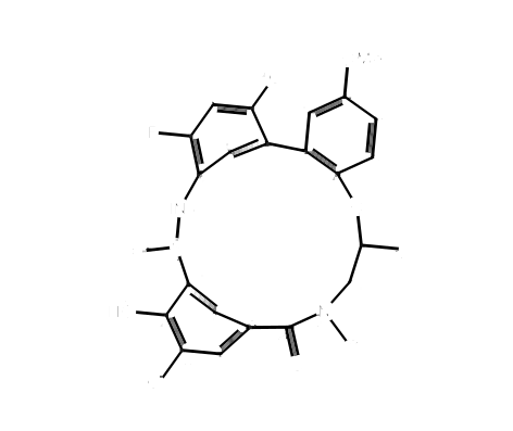 COc1ccc2c(c1)-c1cc(c(F)cc1Cl)N[S+]([O-])c1cc(cc(Cl)c1O)C(=O)N(C)CC(C)O2